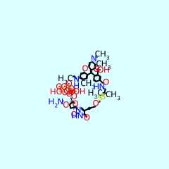 CC/N=c1/cc2oc3cc(NCC)c(C)cc3c(-c3ccc(C(=O)NCC(C)(C)SSCOCC#Cc4cn([C@H]5CC(OCN)[C@@H](COP(=O)(O)OP(=O)(O)OP(=O)(O)O)O5)c(=O)[nH]c4=O)cc3C(=O)O)c-2cc1C